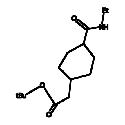 CCNC(=O)C1CCC(CC(=O)OC(C)(C)C)CC1